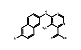 Cc1c(Nc2ccc3cc(Br)ccc3c2)ncnc1C(=O)O